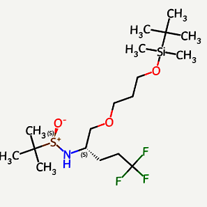 CC(C)(C)[S@@+]([O-])N[C@@H](CCC(F)(F)F)COCCCO[Si](C)(C)C(C)(C)C